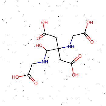 O=C(O)CNC(O)C(CC(=O)O)(CC(=O)O)NCC(=O)O